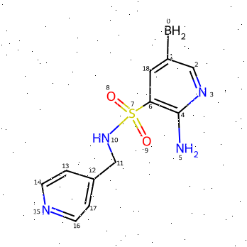 Bc1cnc(N)c(S(=O)(=O)NCc2ccncc2)c1